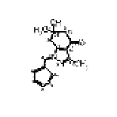 Cc1nn(Cc2ccccc2)c2c1C(=O)CC(C)(C)C2